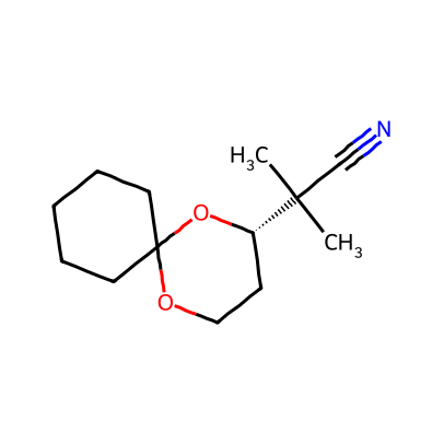 CC(C)(C#N)[C@@H]1CCOC2(CCCCC2)O1